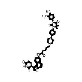 CC1(C)C(=O)N(c2ccc(C#N)c(C(F)(F)F)c2)C(=S)N1c1ccc(N2CCN(CCCCC(=O)Nc3ccc4c(ccc5occ(C6CCC(=O)NC6=O)c54)c3)CC2)cc1